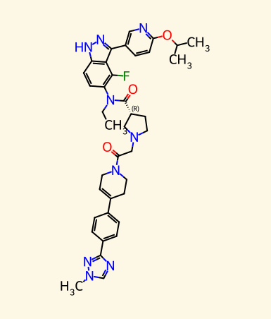 CCN(C(=O)[C@@H]1CCN(CC(=O)N2CC=C(c3ccc(-c4ncn(C)n4)cc3)CC2)C1)c1ccc2[nH]nc(-c3ccc(OC(C)C)nc3)c2c1F